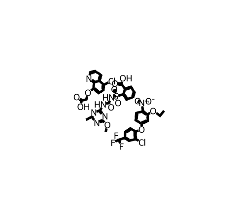 CCOc1cc(Oc2ccc(C(F)(F)F)cc2Cl)ccc1[N+](=O)[O-].COc1nc(C)nc(NC(=O)NS(=O)(=O)c2ccccc2C(=O)O)n1.O=C(O)COc1ccc(Cl)c2cccnc12